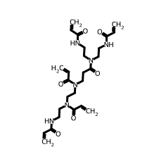 C=CC(=O)NCCN(CCN(CCC(=O)N(CCNC(=O)C=C)CCNC(=O)C=C)C(=O)C=C)C(=O)C=C